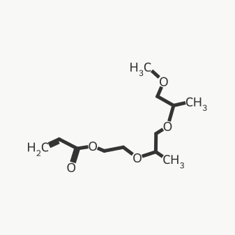 C=CC(=O)OCCOC(C)COC(C)COC